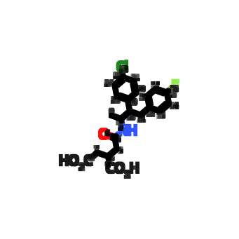 CC(NC(=O)CC(CC(=O)O)C(=O)O)C(Cc1ccc(F)cc1)c1ccc(Cl)cc1